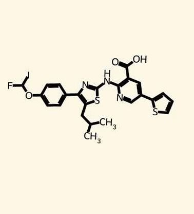 CC(C)Cc1sc(Nc2ncc(-c3cccs3)cc2C(=O)O)nc1-c1ccc(OC(F)I)cc1